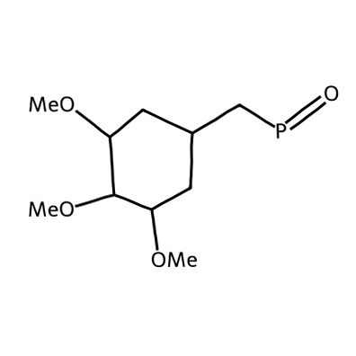 COC1CC(CP=O)CC(OC)C1OC